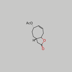 CC(=O)O[C@@H]1/C=C\CC2OC(=O)C[C@@H]2CC1